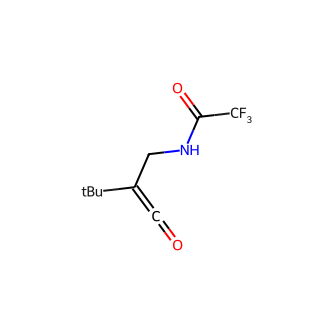 CC(C)(C)C(=C=O)CNC(=O)C(F)(F)F